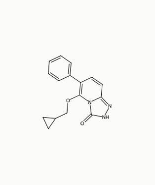 O=c1[nH]nc2ccc(-c3ccccc3)c(OCC3CC3)n12